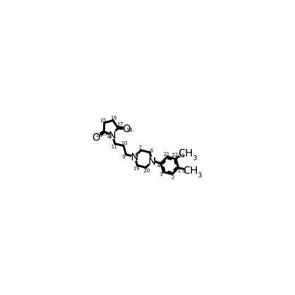 Cc1ccc(N2CCN(CCCN3C(=O)CCC3=O)CC2)cc1C